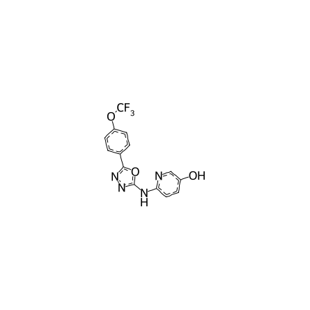 Oc1ccc(Nc2nnc(-c3ccc(OC(F)(F)F)cc3)o2)nc1